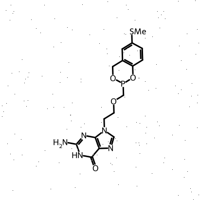 CSc1ccc2c(c1)COP(COCCn1cnc3c(=O)[nH]c(N)nc31)O2